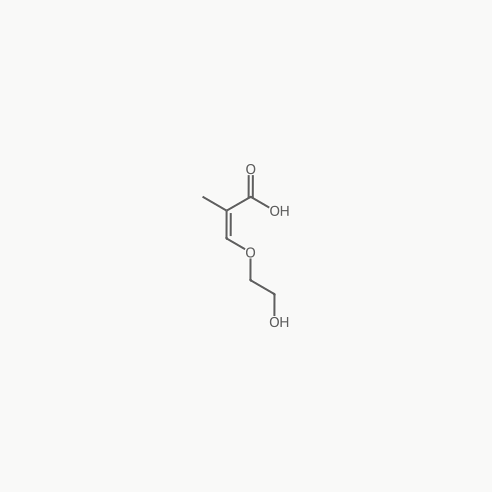 CC(=COCCO)C(=O)O